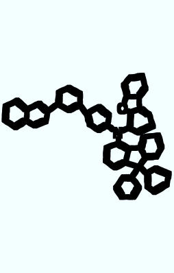 c1ccc(C2(c3ccccc3)c3ccccc3-c3c(N(c4ccc(-c5cccc(-c6ccc7ccccc7c6)c5)cc4)c4cccc5c4oc4ccccc45)cccc32)cc1